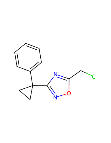 ClCc1nc(C2(c3ccccc3)CC2)no1